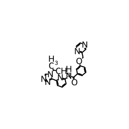 CC(C)n1cnnc1-c1cccc(NC(=O)c2cccc(OCc3cnccn3)c2)n1